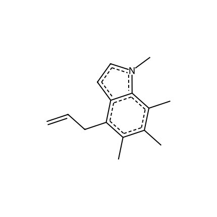 C=CCc1c(C)c(C)c(C)c2c1ccn2C